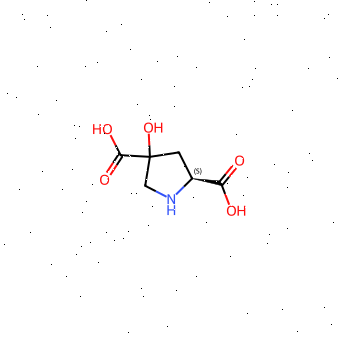 O=C(O)[C@@H]1CC(O)(C(=O)O)CN1